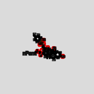 CCCCCOC(=O)O[C@]1(C(=O)COS(=O)(=O)c2ccc(C)cc2)CC[C@H]2[C@@H]3CCC4=CC(=O)CC[C@]4(C)[C@H]3C(=O)C[C@@]21C